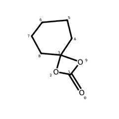 O=C1OC2(CCCCC2)O1